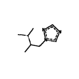 CC(C)C(C)Cn1cncn1